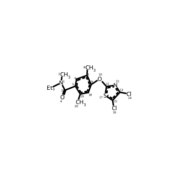 CCN(C)C(=O)c1cc(C)c(Oc2nc(Cl)c(Cl)s2)cc1C